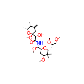 C=C1C[C@](OC)([C@H](O)C(=O)N[C@@H](OC)[C@@H]2C[C@@H](OC)C(C)(C)[C@@H](C[C@@H](COC)OC)O2)O[C@H](C)[C@@H]1C